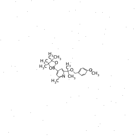 COc1ccc(COC(C)(C)c2cc(B3OC(C)(C)C(C)(C)O3)cc(C)n2)cc1